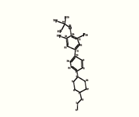 CCCC1CCC(c2ccc(-c3cc(F)c(OC(F)(F)F)c(F)c3)cc2)CC1